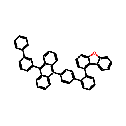 c1ccc(-c2cccc(-c3c4ccccc4c(-c4ccc(-c5ccccc5-c5cccc6oc7ccccc7c56)cc4)c4ccccc34)c2)cc1